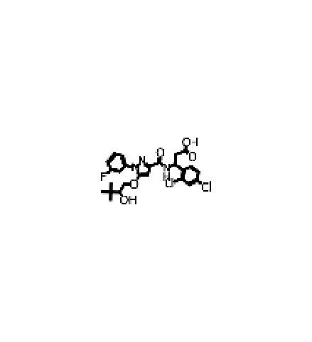 CC(C)(C)C(O)COc1cc(C(=O)NC(CC(=O)O)c2ccc(Cl)cc2Cl)nn1-c1cccc(F)c1